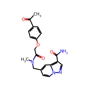 CC(=O)c1ccc(OCC(=O)N(C)Cc2ccn3ncc(C(N)=O)c3c2)cc1